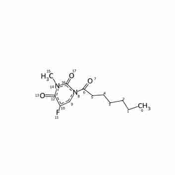 CCCCCCC(=O)n1cc(F)c(=O)n(C)c1=O